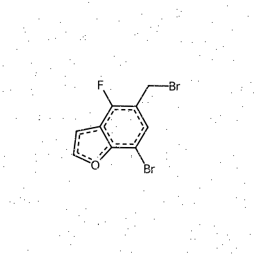 Fc1c(CBr)cc(Br)c2occc12